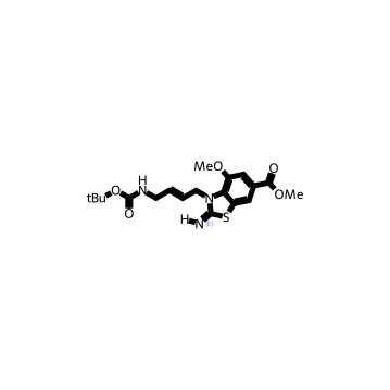 [H]/N=c1/sc2cc(C(=O)OC)cc(OC)c2n1CC=CCNC(=O)OC(C)(C)C